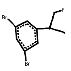 C[C](CF)c1cc(Br)cc(Br)c1